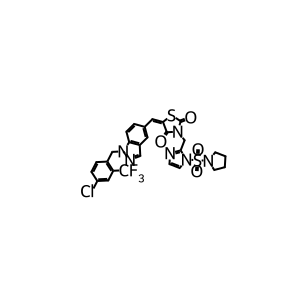 O=C1SC(=Cc2ccc3c(cnn3Cc3ccc(Cl)cc3C(F)(F)F)c2)C(=O)N1Cc1nccn1S(=O)(=O)N1CCCC1